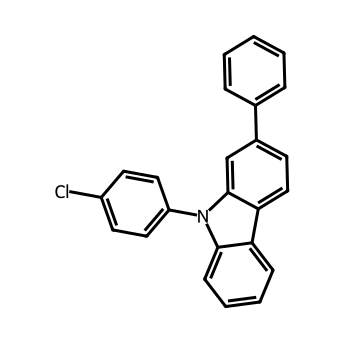 Clc1ccc(-n2c3ccccc3c3ccc(-c4ccccc4)cc32)cc1